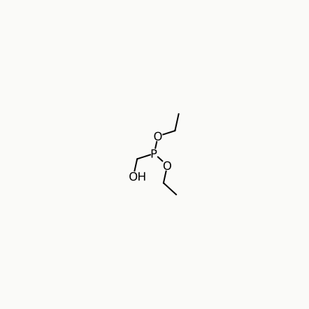 CCOP(CO)OCC